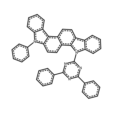 c1ccc(-c2nc(-c3ccccc3)nc(-n3c4ccccc4c4ccc5c(ccc6c5c5ccccc5n6-c5ccccc5)c43)n2)cc1